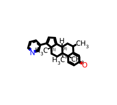 CC1C[C@H]2C3=CC=C(c4cccnc4)[C@@]3(C)CC[C@]2(C)[C@@]2(C)C=CC(=O)C=C12